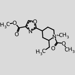 CCC1CC(c2nc(C(=O)OC)co2)CC[N+]1(C)C(=O)OC